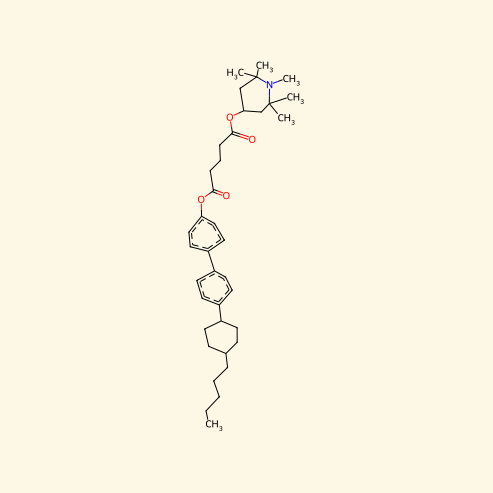 CCCCCC1CCC(c2ccc(-c3ccc(OC(=O)CCCC(=O)OC4CC(C)(C)N(C)C(C)(C)C4)cc3)cc2)CC1